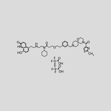 Cc1nc(C(=O)N2CCOC3(CCN(Cc4cccc(CCOCCC(=O)N(CCNCCc5ccc(O)c6[nH]c(=O)ccc56)C5CCCCC5)c4)CC3)C2)cs1.O=C(O)C(F)(F)F.O=C(O)C(F)(F)F